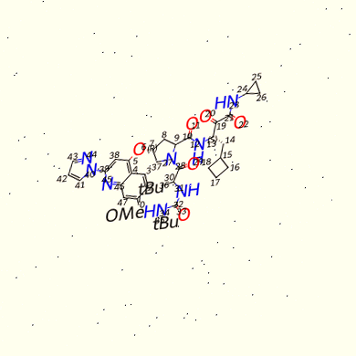 COc1ccc2c(O[C@@H]3CC(C(=O)N[C@@H](CC4CCC4)C(=O)C(=O)NC4CC4)N(C(=O)C(NC(=O)NC(C)(C)C)C(C)(C)C)C3)cc(-n3cccn3)nc2c1